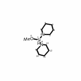 CO[SiH](N1CCCCC1)N1CCCCC1